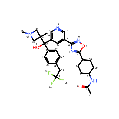 CC(=O)NC1CCC(c2nc(-c3cncc(C(O)(c4ccc(CC(F)(F)F)cc4)C4(C)CN(C)C4)c3)no2)CC1